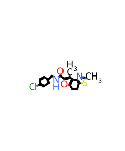 Cc1nc2c(s1)CCc1oc(C(=O)NCc3ccc(Cl)cc3)c(C)c1-2